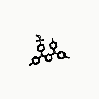 CO[Si](C)(C)c1ccc(N(c2ccc(C)cc2)c2cccc(N(c3ccc(C)cc3)c3ccc(C)cc3)c2)cc1